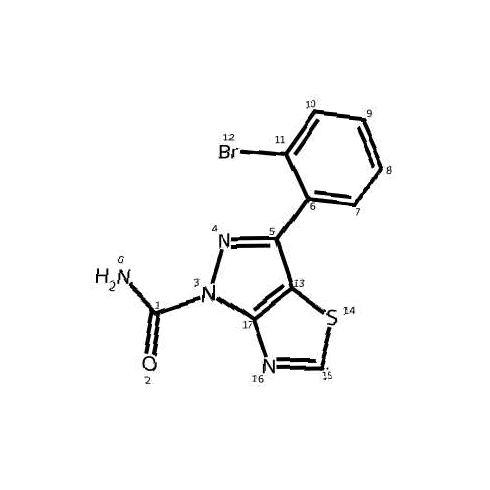 NC(=O)n1nc(-c2ccccc2Br)c2s[c]nc21